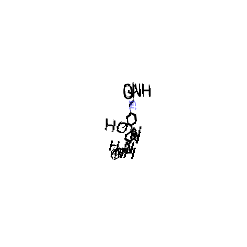 CNC(=O)/C=C/c1ccc(-c2ccc(N(C)[C@@H]3CC4CC[C@@H](C3)N4)nn2)c(O)c1